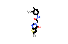 CCc1cc2c(=O)n(CC(=O)Nc3ccc(C)c(C(F)(F)F)c3)cnc2s1